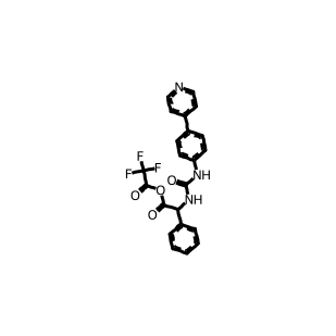 O=C(Nc1ccc(-c2ccncc2)cc1)NC(C(=O)OC(=O)C(F)(F)F)c1ccccc1